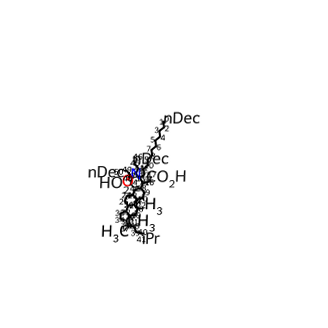 CCCCCCCCCCCCCCCCCCCCCC[C@@](C(=O)O)(C(CC(=O)O)C1CC[C@@]2(C)C(=CCC3C2CC[C@@]2(C)C3CC[C@@H]2[C@H](C)CCCC(C)C)C1)N(CCCCCCCCCCCC)C(=O)CCCCCCCCCCC